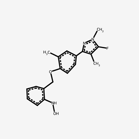 Cc1cc(-c2nn(C)c(F)c2C)ccc1OCc1ccccc1NO